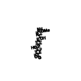 COc1cc(C(O)CN2CCN(CC(O)c3cc4c(cc3C)C(=O)OC4)CC2)ncc1N